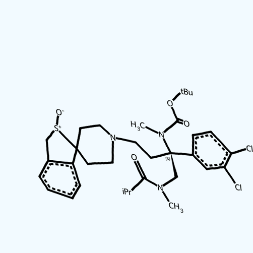 CC(C)C(=O)N(C)C[C@](CCN1CCC2(CC1)c1ccccc1C[S+]2[O-])(c1ccc(Cl)c(Cl)c1)N(C)C(=O)OC(C)(C)C